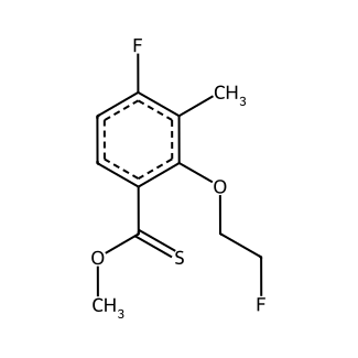 COC(=S)c1ccc(F)c(C)c1OCCF